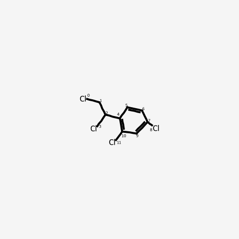 ClCC(Cl)c1ccc(Cl)cc1Cl